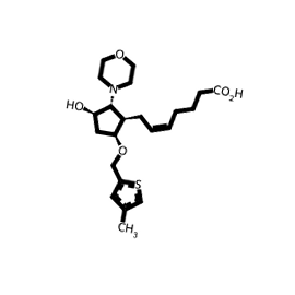 Cc1csc(CO[C@H]2C[C@@H](O)[C@H](N3CCOCC3)[C@H]2C/C=C\CCCC(=O)O)c1